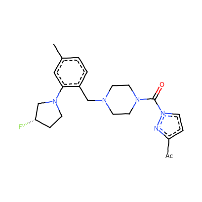 CC(=O)c1ccn(C(=O)N2CCN(Cc3ccc(C)cc3N3CC[C@H](F)C3)CC2)n1